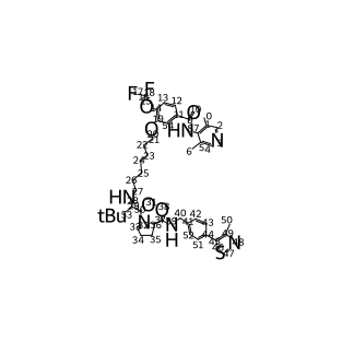 Cc1cncc(C)c1NC(=O)c1ccc(OC(F)F)c(OCCCCCCCNC(C(=O)N2CCCC2C(=O)NCc2ccc(-c3scnc3C)cc2)C(C)(C)C)c1